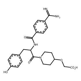 N=C(N)c1ccc(C(=O)NC(Cc2ccc(O)cc2)C(=O)N2CCC(OCC(=O)O)CC2)cc1